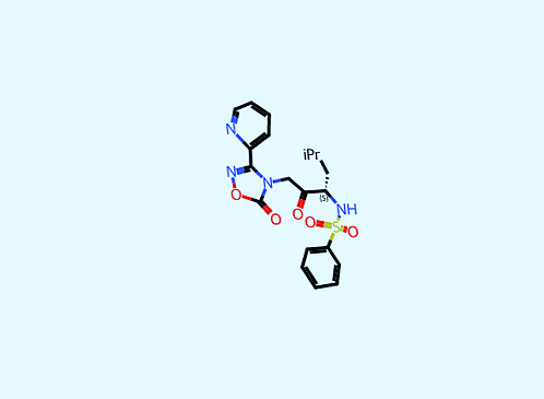 CC(C)C[C@H](NS(=O)(=O)c1ccccc1)C(=O)Cn1c(-c2ccccn2)noc1=O